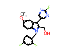 OCc1c(-c2cnc(F)nc2)c2cc(OC(F)(F)F)ccc2n1Cc1ccc(F)cc1F